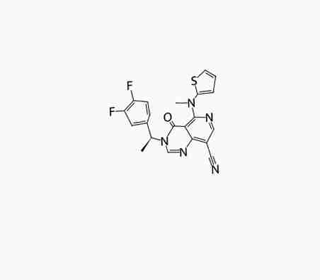 C[C@@H](c1ccc(F)c(F)c1)n1cnc2c(C#N)cnc(N(C)c3cccs3)c2c1=O